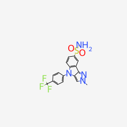 Cn1cc2c(n1)c1cc(S(N)(=O)=O)ccc1n2-c1ccc(C(F)(F)F)cc1